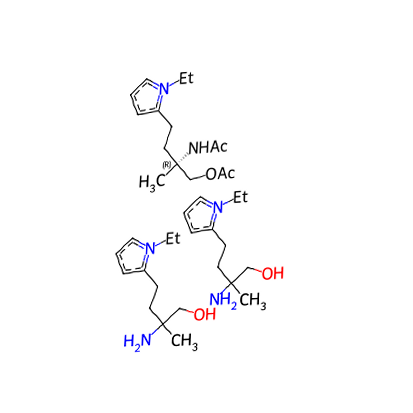 CCn1cccc1CCC(C)(N)CO.CCn1cccc1CCC(C)(N)CO.CCn1cccc1CC[C@](C)(COC(C)=O)NC(C)=O